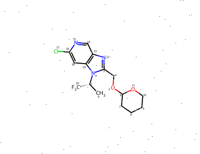 C[C@@H](n1c(COC2CCCCO2)nc2cnc(Cl)cc21)C(F)(F)F